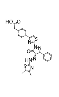 Cc1nc(N/N=C2\C(=O)N(c3nc(-c4ccc(CC(=O)O)cc4)cs3)N=C2c2ccccc2)sc1C